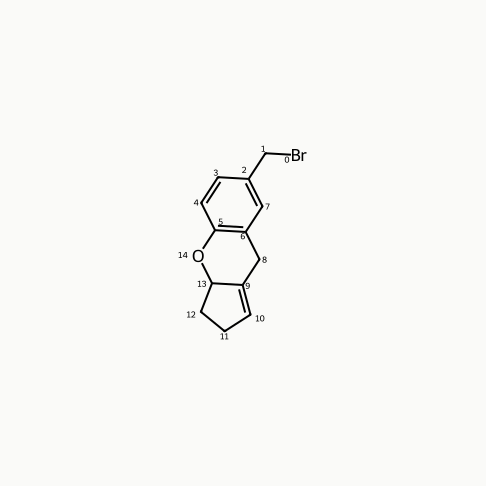 BrCc1ccc2c(c1)CC1=CCCC1O2